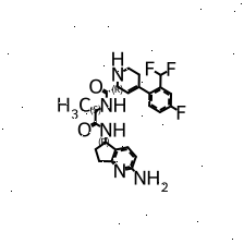 C[C@H](NC(=O)[C@H]1C=C(c2ccc(F)cc2C(F)F)CCN1)C(=O)N[C@@H]1CCc2nc(N)ccc21